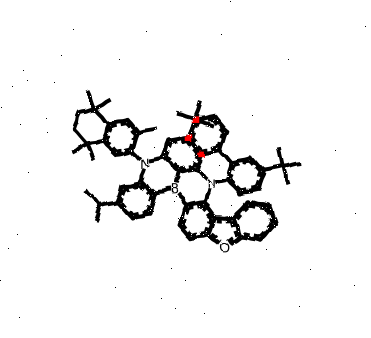 Cc1cc2c(cc1N1c3cc(C(C)C)ccc3B3c4ccc5oc6ccccc6c5c4N(c4ccc(C(C)(C)C)cc4-c4ccccc4)c4cc(C(C)(C)C)cc1c43)C(C)(C)CCC2(C)C